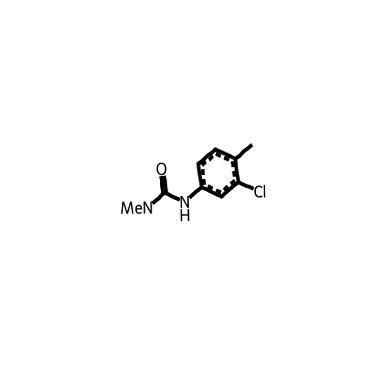 CNC(=O)Nc1ccc(C)c(Cl)c1